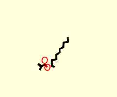 C=C(C)C(=O)OC(C)CCCCCCCCC